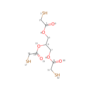 O=C(CS)OCC(COC(=O)CS)OC(=O)CS